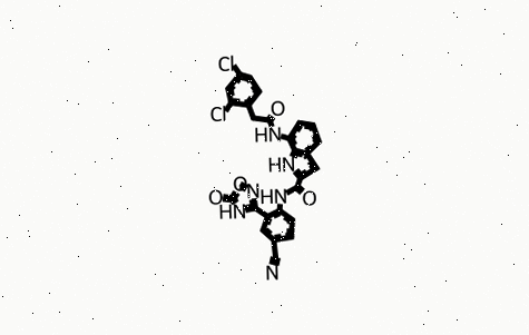 N#Cc1ccc(NC(=O)c2cc3cccc(NC(=O)Cc4ccc(Cl)cc4Cl)c3[nH]2)c(-c2noc(=O)[nH]2)c1